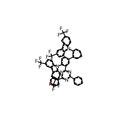 FC(F)(F)c1ccc2c(c1)c1cc(C(F)(F)F)ccc1n2-c1ccccc1-c1ccc(-n2c3ccc(C(F)(F)F)cc3c3cc(C(F)(F)F)ccc32)c(-c2nc(-c3ccccc3)nc(-c3ccccc3)n2)c1